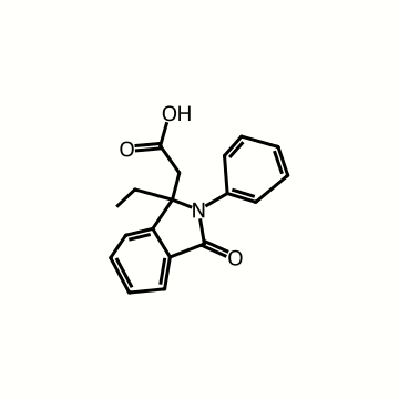 CCC1(CC(=O)O)c2ccccc2C(=O)N1c1ccccc1